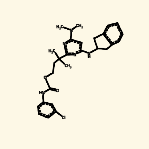 CN(C)c1cc(NC2Cc3ccccc3C2)nc(C(C)(C)CCOC(=O)Nc2cccc(Cl)c2)n1